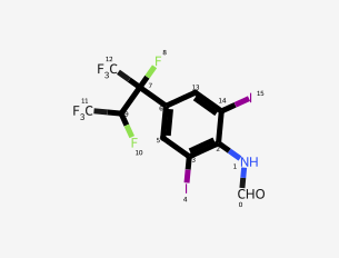 O=CNc1c(I)cc(C(F)(C(F)C(F)(F)F)C(F)(F)F)cc1I